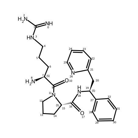 N=C(N)NCCC[C@H](N)C(=O)N1CCC[C@H]1C(=O)N[C@@H](Cc1ccccn1)c1ccccc1